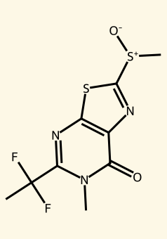 Cn1c(C(C)(F)F)nc2sc([S+](C)[O-])nc2c1=O